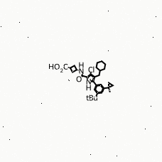 CC(C)(C)c1cc(-c2[nH]c(C(=O)N[C@H]3C[C@H](C(=O)O)C3)c(Cl)c2CC2CCCCC2)cc(C2(C)CC2)c1